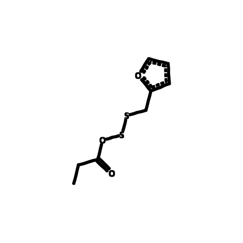 CCC(=O)OSSCc1ccco1